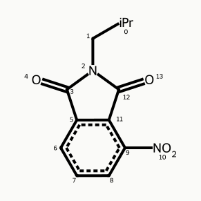 CC(C)CN1C(=O)c2cccc([N+](=O)[O-])c2C1=O